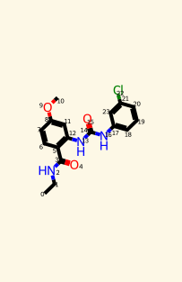 CCNC(=O)c1ccc(OC)cc1NC(=O)Nc1cccc(Cl)c1